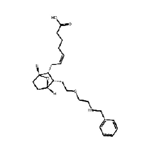 O=C(O)CCC/C=C\C[C@@H]1[C@H](CCSCCNCc2ccccc2)[C@@H]2CC[C@H]1O2